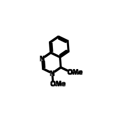 COC1c2ccccc2N=CN1OC